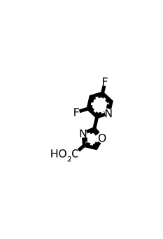 O=C(O)c1coc(-c2ncc(F)cc2F)n1